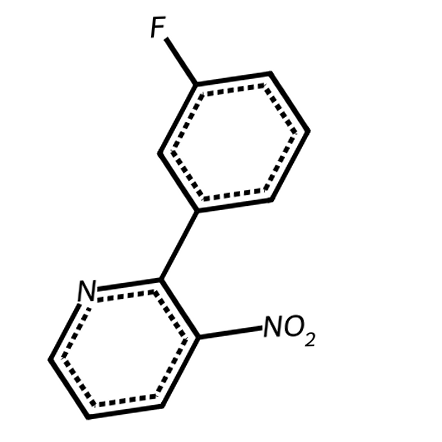 O=[N+]([O-])c1cccnc1-c1cccc(F)c1